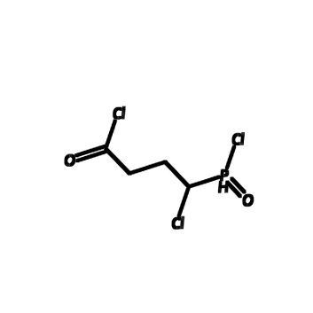 O=C(Cl)CCC(Cl)[PH](=O)Cl